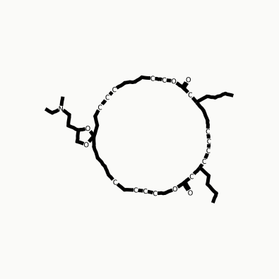 CCCCC1CCCCCCC(CCCC)CC(=O)OCCCCCCCCCCC2(CCCCCCCCCCOC(=O)C1)OCC(CCN(C)CC)O2